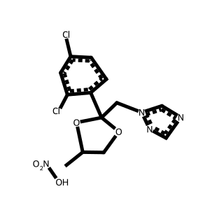 CC1COC(Cn2cncn2)(c2ccc(Cl)cc2Cl)O1.O=[N+]([O-])O